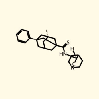 C[C@@]12CC3CC(C(=S)N[C@H]4CN5CCC4CC5)(C1)C[C@](c1ccccc1)(C3)C2